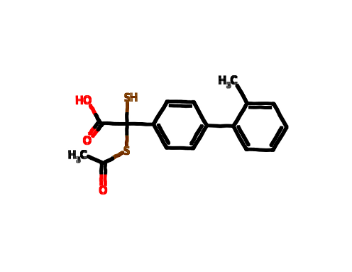 CC(=O)SC(S)(C(=O)O)c1ccc(-c2ccccc2C)cc1